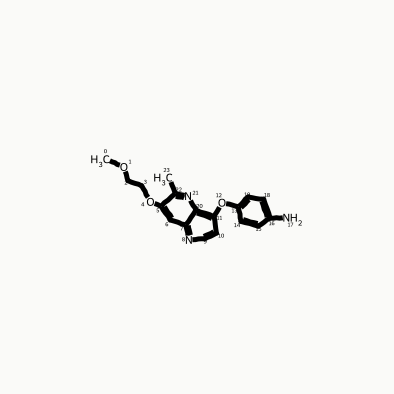 COCCOc1cc2nccc(Oc3ccc(N)cc3)c2nc1C